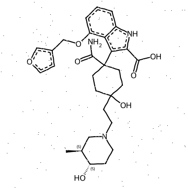 C[C@H]1CN(CCC2(O)CCC(C(N)=O)(c3c(C(=O)O)[nH]c4cccc(OCc5ccoc5)c34)CC2)CC[C@@H]1O